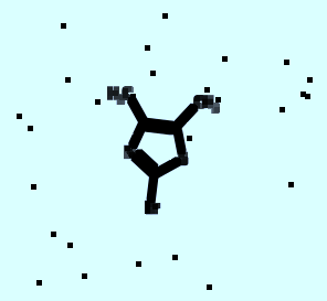 Cc1nc(Br)sc1C